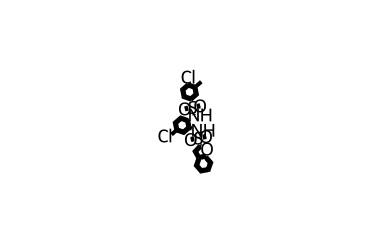 Cc1cc(S(=O)(=O)Nc2ccc(Cl)cc2NS(=O)(=O)c2cc3ccccc3o2)ccc1Cl